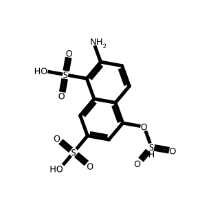 Nc1ccc2c(O[SH](=O)=O)cc(S(=O)(=O)O)cc2c1S(=O)(=O)O